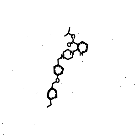 CCc1ccc(COc2ccc(CN3CCN(c4ncccc4C(=O)OC(C)C)CC3)cc2)cc1